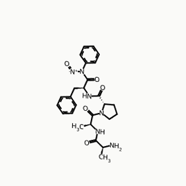 C[C@H](N)C(=O)N[C@@H](C)C(=O)N1CCC[C@H]1C(=O)N[C@@H](Cc1ccccc1)C(=O)N([N+]=O)c1ccccc1